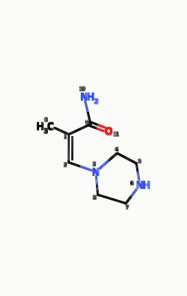 CC(=CN1CCNCC1)C(N)=O